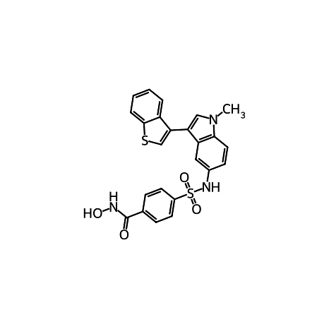 Cn1cc(-c2csc3ccccc23)c2cc(NS(=O)(=O)c3ccc(C(=O)NO)cc3)ccc21